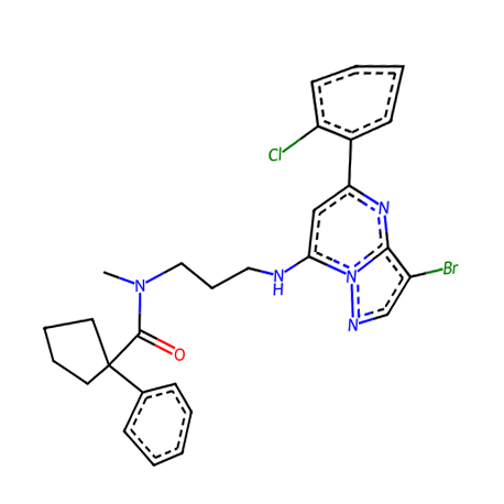 CN(CCCNc1cc(-c2ccccc2Cl)nc2c(Br)cnn12)C(=O)C1(c2ccccc2)CCCC1